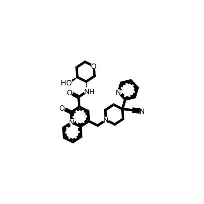 N#CC1(c2ccccn2)CCN(Cc2cc(C(=O)N[C@H]3COCC[C@@H]3O)c(=O)n3ccccc23)CC1